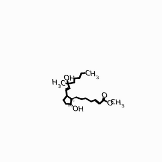 CCCCCC(C)(O)C=CC1CC[C@@H](O)[C@@H]1CCCCC=CC(=O)OC